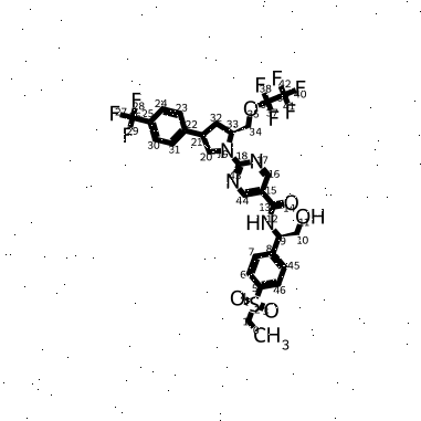 CCS(=O)(=O)c1ccc([C@H](CO)NC(=O)c2cnc(N3CC(c4ccc(C(F)(F)F)cc4)C[C@H]3COC(F)(F)C(F)(F)F)nc2)cc1